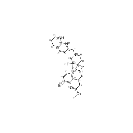 COC(=O)C[C@H](CN1CC2(CCN(Cc3ccc4c(n3)NCCC4)CC2(F)F)C1)c1cccc(Br)c1